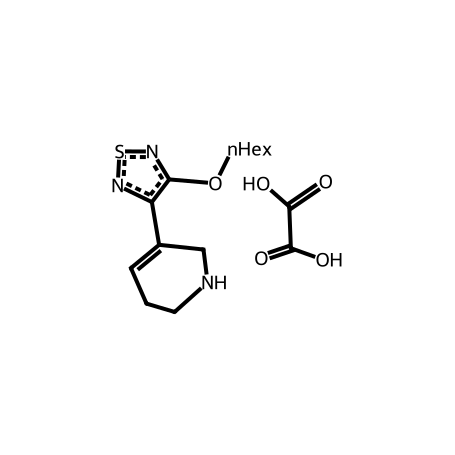 CCCCCCOc1nsnc1C1=CCCNC1.O=C(O)C(=O)O